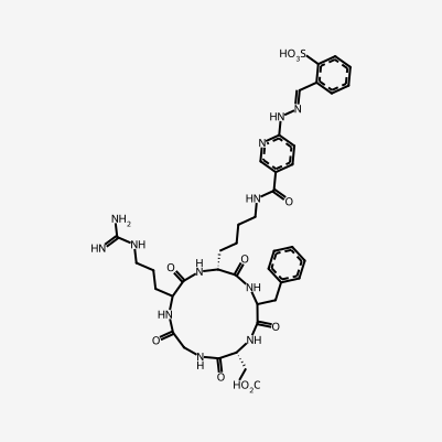 N=C(N)NCCCC1NC(=O)CNC(=O)[C@@H](CC(=O)O)NC(=O)C(Cc2ccccc2)NC(=O)[C@@H](CCCCNC(=O)c2ccc(NN=Cc3ccccc3S(=O)(=O)O)nc2)NC1=O